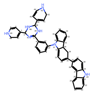 C1=CC(C2N=C(c3cccc(N4C5=CC=C(c6ccc7[nH]c8ccccc8c7c6)CC5c5ccccc54)c3)NC(C3=CCNC=C3)N2)=CCN1